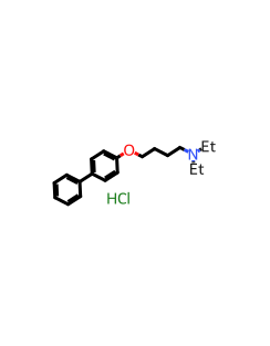 CCN(CC)CCCCOc1ccc(-c2ccccc2)cc1.Cl